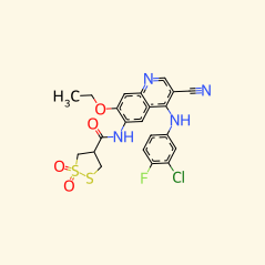 CCOc1cc2ncc(C#N)c(Nc3ccc(F)c(Cl)c3)c2cc1NC(=O)C1CSS(=O)(=O)C1